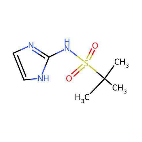 CC(C)(C)S(=O)(=O)Nc1ncc[nH]1